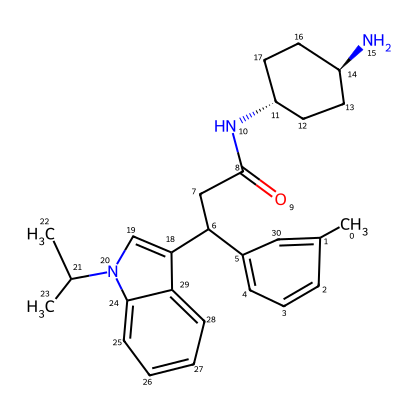 Cc1cccc(C(CC(=O)N[C@H]2CC[C@H](N)CC2)c2cn(C(C)C)c3ccccc23)c1